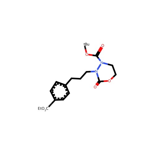 CCOC(=O)c1ccc(CCCN2C(=O)OCCN2C(=O)OC(C)(C)C)cc1